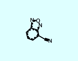 N#Cc1cccc2nonc12